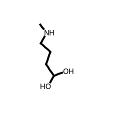 CNCCCC(O)O